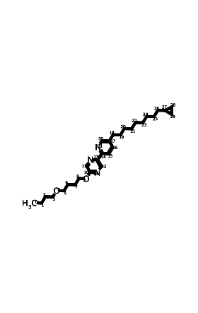 CCCCOCCCCOc1cnc(-c2ccc(CCCCCCCCCC3CC3)cn2)cn1